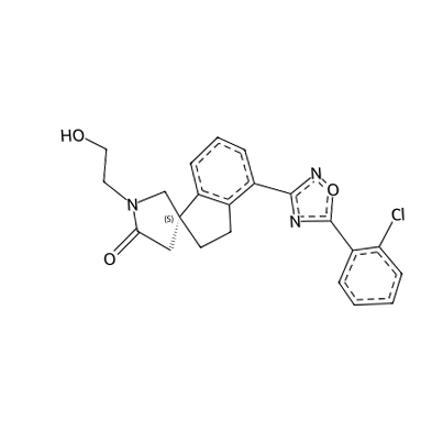 O=C1C[C@]2(CCc3c(-c4noc(-c5ccccc5Cl)n4)cccc32)CN1CCO